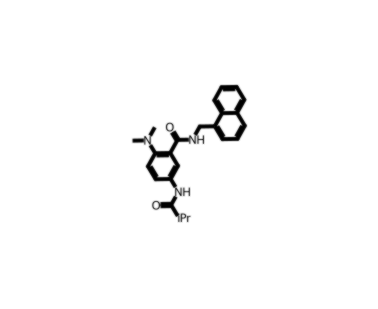 CC(C)C(=O)Nc1ccc(N(C)C)c(C(=O)NCc2cccc3ccccc23)c1